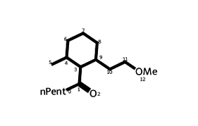 CCCCCC(=O)C1C(C)CCCC1CCOC